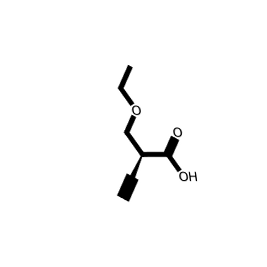 C#C[C@@H](COCC)C(=O)O